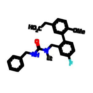 CCN(Cc1cc(F)ccc1-c1cc(CC(=O)O)ccc1OC)C(=O)NCc1ccccc1